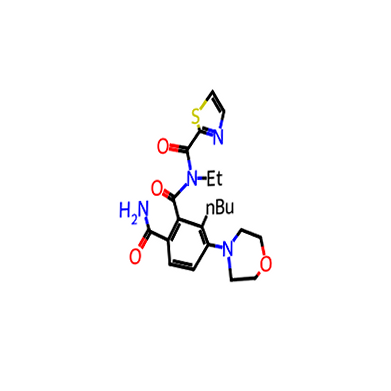 CCCCc1c(N2CCOCC2)ccc(C(N)=O)c1C(=O)N(CC)C(=O)c1nccs1